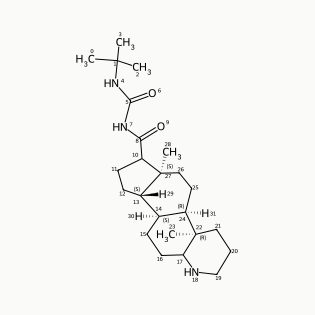 CC(C)(C)NC(=O)NC(=O)C1CC[C@H]2[C@@H]3CCC4NCCC[C@]4(C)[C@@H]3CC[C@]12C